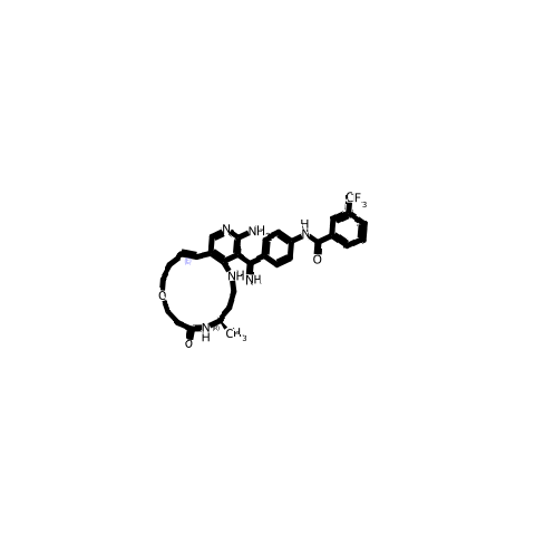 C[C@@H]1CCNc2c(cnc(N)c2C(=N)c2ccc(NC(=O)c3cccc(C(F)(F)F)c3)cc2)/C=C/CCOCCC(=O)N1